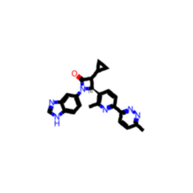 Cc1ccc(-c2ccc([C@@H]3C(C4CC4)C(=O)N3c3ccc4[nH]cnc4c3)c(C)n2)nn1